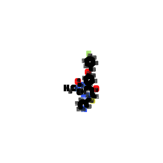 CN(C)C(=O)n1cc(C(=O)C2=CSC(c3cccnc3)N2)c2ccc(OCc3ccc(F)cc3)cc21